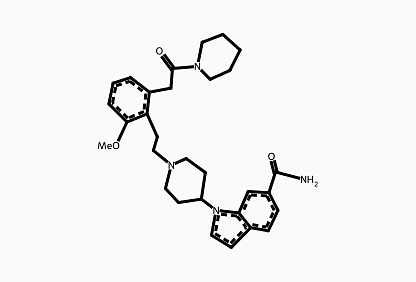 COc1cccc(CC(=O)N2CCCCC2)c1CCN1CCC(n2ccc3ccc(C(N)=O)cc32)CC1